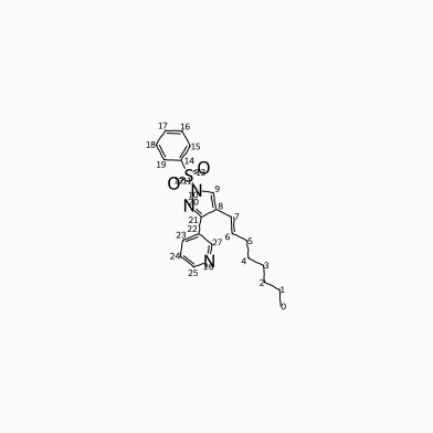 CCCCCCC=Cc1cn(S(=O)(=O)c2ccccc2)nc1-c1cccnc1